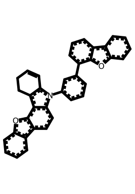 C1=Cc2c(c3c4oc5ccccc5c4ccc3n2-c2cccc(-c3cccc4c3oc3ccccc34)c2)CC1